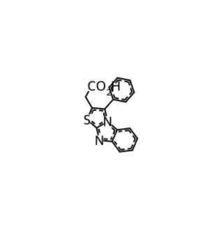 O=C(O)Cc1sc2nc3ccccc3n2c1-c1ccccc1